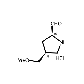 COC[C@@H]1CN[C@H](C=O)C1.Cl